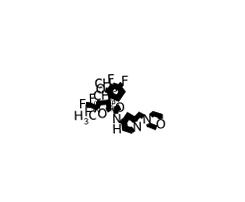 COc1c([C@H]2[C@H](C(=O)Nc3ccnc(CN4CCOCC4)c3)O[C@@](C)(C(F)(F)F)[C@H]2C)ccc(F)c1F